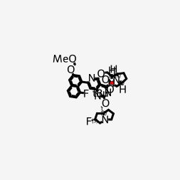 COCOc1cc(-c2cc3nc(OC[C@]45CCCN4C[C@@H](F)C5)nc4c3c(n2)OC[C@H]2[C@@H]3CC[C@H](CN42)N3C(=O)OC(C)(C)C)c2c(F)cccc2c1